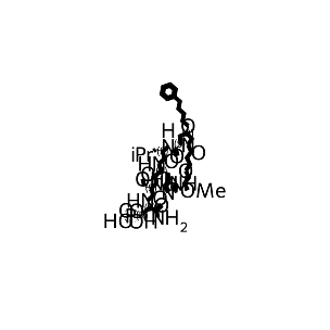 COCCOCCC(=O)N1C[C@H](OCCCCc2ccccc2)C[C@H]1C(=O)N[C@@H](CC(C)C)C(=O)N[C@@H](Cc1cnc[nH]1)C(=O)N[C@@H](CO)C(=O)N[C@H](C(N)=O)[C@@H](C)OP(=O)(O)O